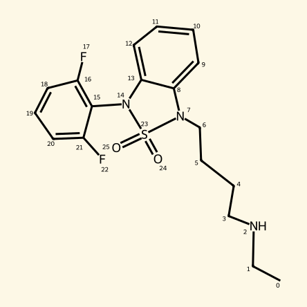 CCNCCCCN1c2ccccc2N(c2c(F)cccc2F)S1(=O)=O